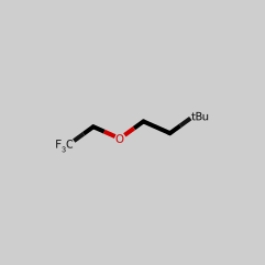 CC(C)(C)CCOCC(F)(F)F